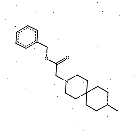 CC1CCC2(CC1)CCN(CC(=O)OCc1ccccc1)CC2